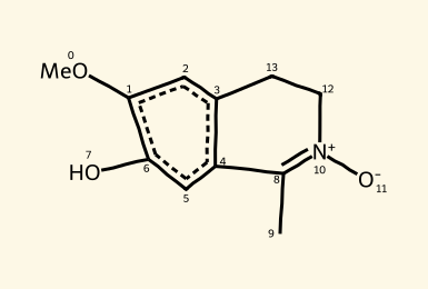 COc1cc2c(cc1O)C(C)=[N+]([O-])CC2